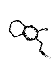 C=CCc1cc2c(cc1O)CCCC2